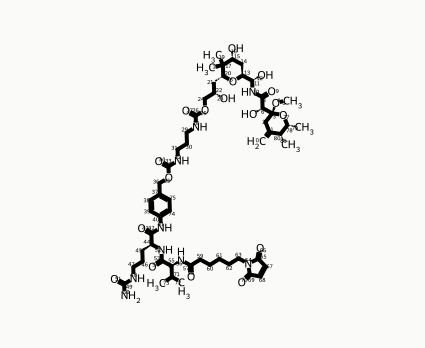 C=C1C[C@](OC)([C@H](O)C(=O)N[C@@H](O)[C@@H]2C[C@@H](O)C(C)(C)[C@@H](C[C@H](O)COC(=O)NCCCNC(=O)OCc3ccc(NC(=O)[C@H](CCCNC(N)=O)NC(=O)[C@@H](NC(=O)CCCCCN4C(=O)C=CC4=O)C(C)C)cc3)O2)O[C@H](C)[C@@H]1C